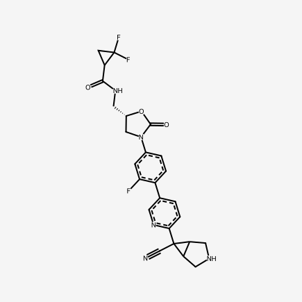 N#CC1(c2ccc(-c3ccc(N4C[C@H](CNC(=O)C5CC5(F)F)OC4=O)cc3F)cn2)C2CNCC21